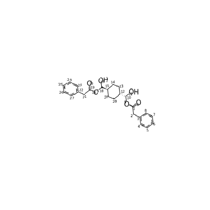 O=C(Cc1ccccc1)OC(O)[C@H]1CC[C@H](C(O)OC(=O)Cc2ccccc2)CC1